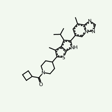 Cc1c(C2CCN(C(=O)C3CCC3)CC2)sc2[nH]c(-c3cc(C)c4ncnn4c3)c(C(C)C)c12